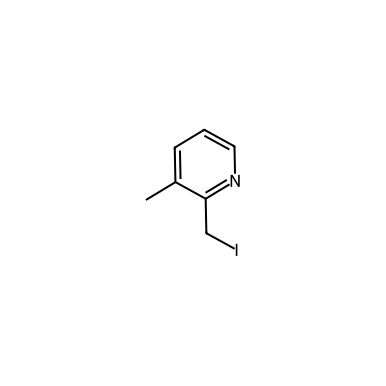 Cc1cccnc1CI